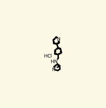 Cl.c1cncc(-c2ccc(CNC3CN4CCC3CC4)cc2)c1